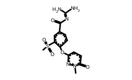 Cn1nc(Oc2ccc(C(=O)N=C(N)N)cc2S(C)(=O)=O)ccc1=O